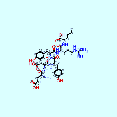 CCCC[C@H](NC(=O)[C@H](CCCNC(=N)N)NC(=O)[C@H](Cc1ccc(O)cc1)NC(=O)[C@H](Cc1ccc(O)cc1)NC(=O)[C@H](CC(=O)O)NC(=O)[C@@H](N)CCC(=O)O)C(=O)O